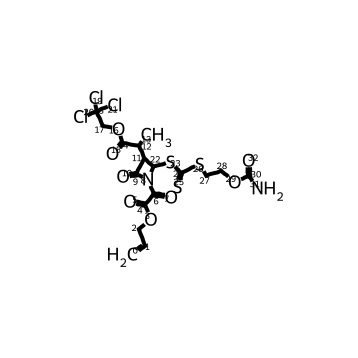 C=CCOC(=O)C(=O)N1C(=O)C(C(C)C(=O)OCC(Cl)(Cl)Cl)C1SC(=S)SCCOC(N)=O